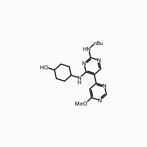 CCCCNc1ncc(-c2cc(OC)ncn2)c(NC2CCC(O)CC2)n1